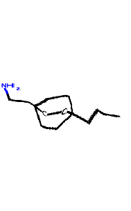 CCCC12CCC(CN)(CC1)CC2